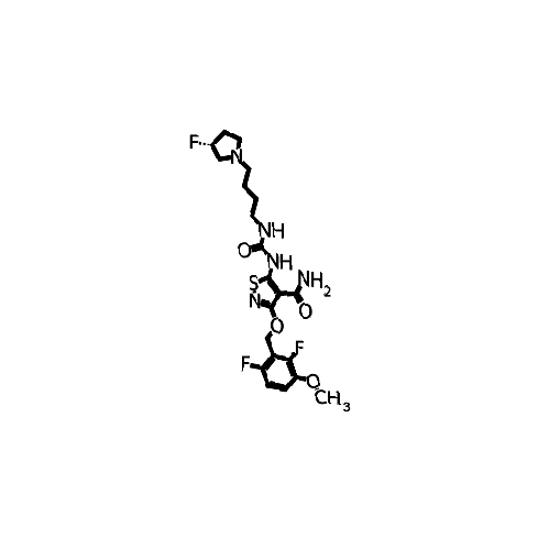 COc1ccc(F)c(COc2nsc(NC(=O)NCCCCN3CC[C@@H](F)C3)c2C(N)=O)c1F